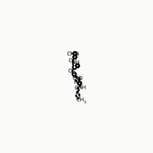 CN1CCN(CCC(=O)Nc2ccc3c(=O)n(CC4(O)CCN(C(=O)C(CCCNC(=O)c5ccc6nccc(Cl)c6c5)Cc5ccccc5)CC4)cnc3c2)CC1